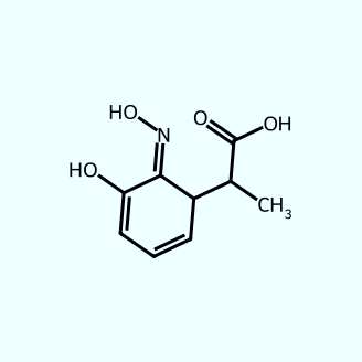 CC(C(=O)O)C1C=CC=C(O)C1=NO